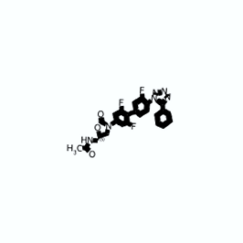 CC(=O)NC[C@H]1CN(c2cc(F)c(-c3ccc(-n4nnnc4-c4ccccc4)c(F)c3)c(F)c2)C(=O)O1